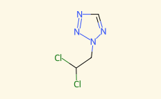 ClC(Cl)Cn1ncnn1